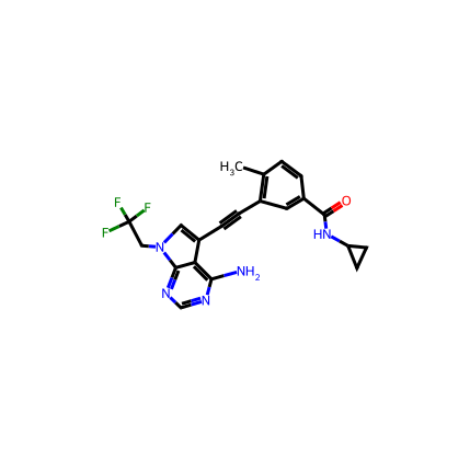 Cc1ccc(C(=O)NC2CC2)cc1C#Cc1cn(CC(F)(F)F)c2ncnc(N)c12